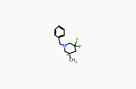 C[C@H]1CN(Cc2ccccc2)CC(F)(F)C1